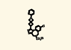 CCOC(=O)N1Cc2cc(Cl)ccc2-n2c(nnc2C2CC3(C2)CN(c2ccccn2)C3)C1